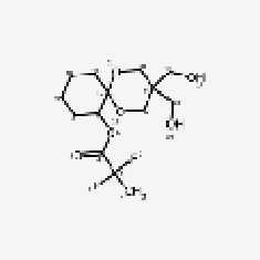 CC(F)(F)C(=O)OC1CCCCC12OCC(CO)(CO)CO2